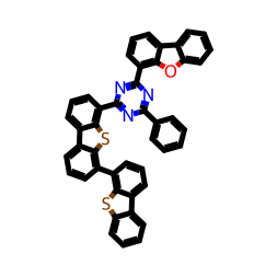 c1ccc(-c2nc(-c3cccc4c3oc3ccccc34)nc(-c3cccc4c3sc3c(-c5cccc6c5sc5ccccc56)cccc34)n2)cc1